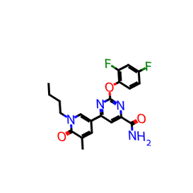 CCCCn1cc(-c2cc(C(N)=O)nc(Oc3ccc(F)cc3F)n2)cc(C)c1=O